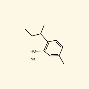 CCC(C)c1ccc(C)cc1O.[Na]